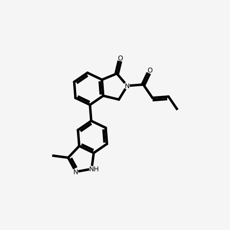 C/C=C/C(=O)N1Cc2c(cccc2-c2ccc3[nH]nc(C)c3c2)C1=O